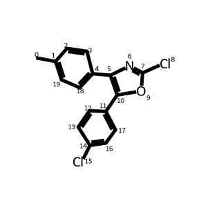 Cc1ccc(-c2nc(Cl)oc2-c2ccc(Cl)cc2)cc1